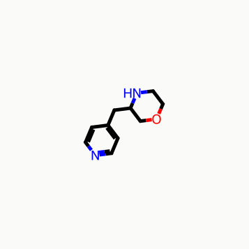 c1cc(CC2COCCN2)ccn1